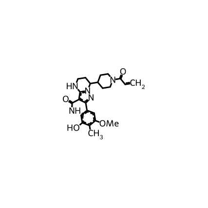 C=CC(=O)N1CCC(C2CCNc3c(C(N)=O)c(-c4cc(O)c(C)c(OC)c4)nn32)CC1